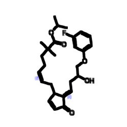 CC(C)OC(=O)C(C)(C)CC/C=C\CC1C=CC(=O)/C1=C/CC(O)COc1cccc(F)c1